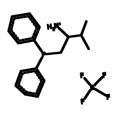 CC(C)C([NH3+])CP(c1ccccc1)c1ccccc1.F[B-](F)(F)F